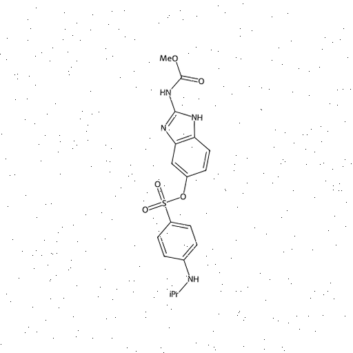 COC(=O)Nc1nc2cc(OS(=O)(=O)c3ccc(NC(C)C)cc3)ccc2[nH]1